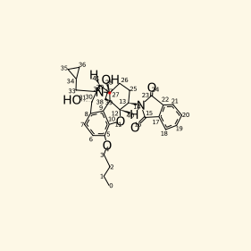 CCCCOc1ccc2c3c1O[C@H]1[C@H](N4C(=O)c5ccccc5C4=O)CC[C@@]4(O)[C@@H]([C@H]2O)N(CC2CC2)CC[C@]314